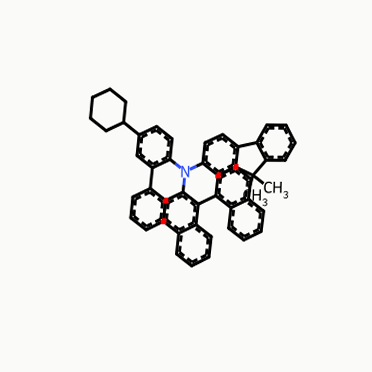 CC1(C)c2ccccc2-c2ccc(N(c3ccc(C4CCCCC4)cc3-c3ccccc3)c3ccc4ccccc4c3-c3cccc4ccccc34)cc21